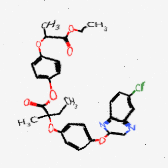 CCOC(=O)C(C)Oc1ccc(OC(=O)C(C)(CC)Oc2ccc(Oc3cnc4cc(Cl)ccc4n3)cc2)cc1